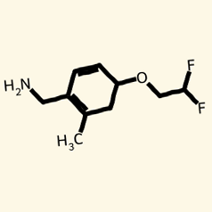 CC1=C(CN)C=CC(OCC(F)F)C1